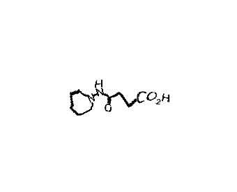 O=C(O)CCC(=O)NN1CCCCC1